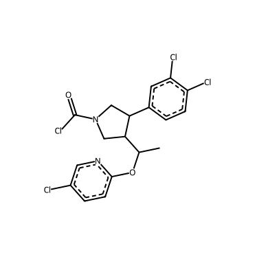 CC(Oc1ccc(Cl)cn1)C1CN(C(=O)Cl)CC1c1ccc(Cl)c(Cl)c1